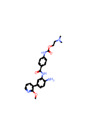 COc1ncccc1-c1ccc(N)c(NC(=O)c2ccc(NC(=O)OCCN(C)C)cc2)c1